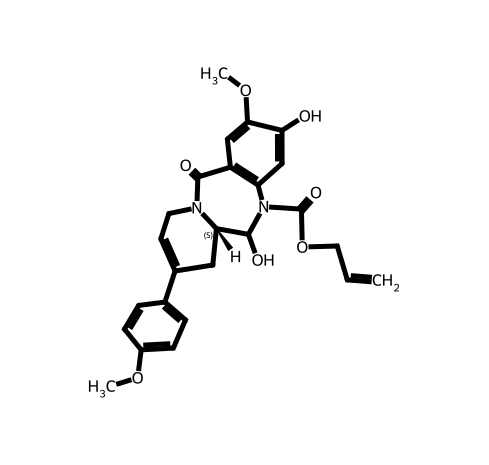 C=CCOC(=O)N1c2cc(O)c(OC)cc2C(=O)N2CC=C(c3ccc(OC)cc3)C[C@H]2C1O